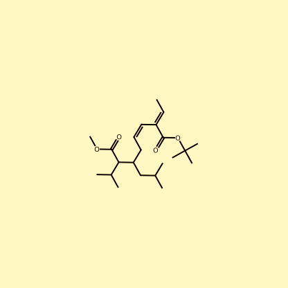 C/C=C(\C=C/CC(CC(C)C)C(C(=O)OC)C(C)C)C(=O)OC(C)(C)C